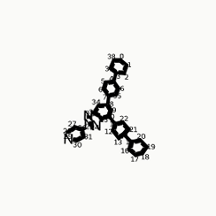 c1ccc(-c2ccc(-c3cc(-c4ccc(-c5ccccc5)cc4)c4nn(-c5ccncc5)nc4c3)cc2)cc1